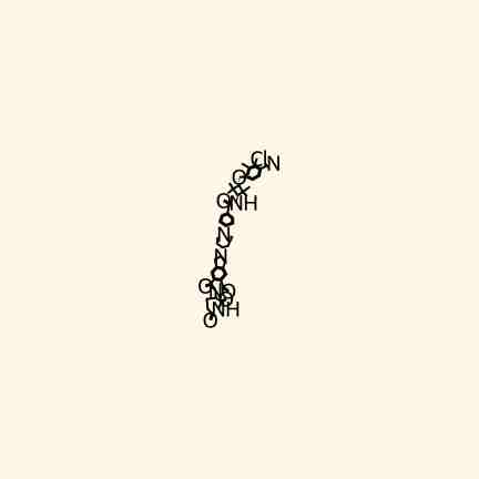 Cc1c(O[C@H]2C(C)(C)[C@H](NC(=O)c3ccc(N4CCC(N5Cc6cc7c(cc6C5)C(=O)N(C5CCC(=O)NC5=O)C7=O)CC4)cc3)C2(C)C)ccc(C#N)c1Cl